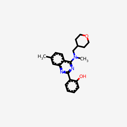 Cc1ccc2c(N(C)CC3CCOCC3)nc(-c3ccccc3O)nc2c1